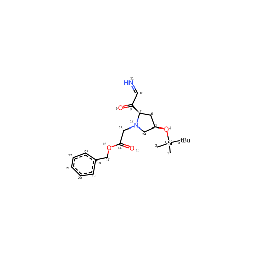 CC(C)(C)[Si](C)(C)OC1C[C@H](C(=O)C=N)N(CC(=O)OCc2ccccc2)C1